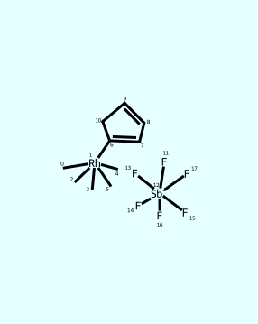 [CH3][Rh]([CH3])([CH3])([CH3])([CH3])[C]1=CC=CC1.[F][Sb-]([F])([F])([F])([F])[F]